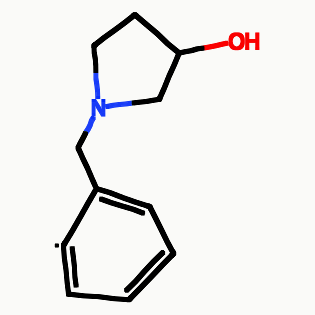 OC1CCN(Cc2[c]cccc2)C1